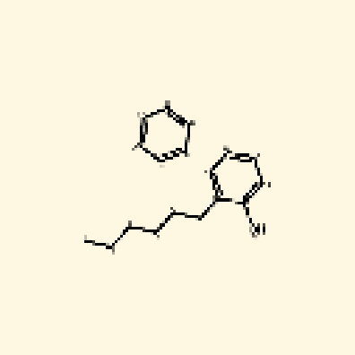 CCCCCCc1ccccc1O.c1ccccc1